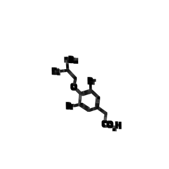 CCCCC(CC)COc1c(Br)cc(CC(=O)O)cc1Br